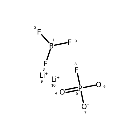 FB(F)F.O=P([O-])([O-])F.[Li+].[Li+]